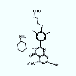 COc1cc(OC)c2c(=O)[nH]c(-c3cc(C)c(OCCOC=O)c(C)c3)nc2c1.NC1CCCCC1